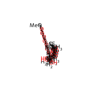 COCCOCCOCCOCCOCCOCCOCCOCCC[Si](C)(O[SiH2][Si](=O)[Si](=O)[Si](=O)[Si](=O)[Si](=O)[Si](=O)[Si](=O)[Si](C)(CCC(F)(F)F)C(C)(C)C)[Si](O[SiH2]O)([SiH2]O)[SiH2]O